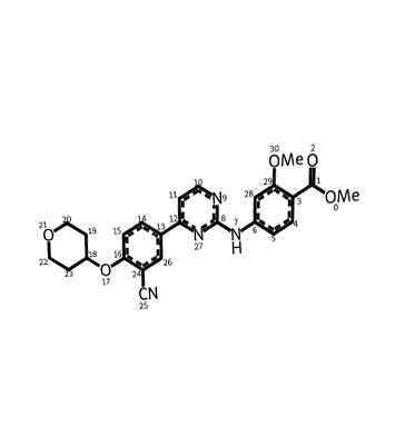 COC(=O)c1ccc(Nc2nccc(-c3ccc(OC4CCOCC4)c(C#N)c3)n2)cc1OC